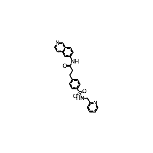 O=C(CCc1ccc(S(=O)(=O)NCc2ccccn2)cc1)Nc1ccc2cnccc2c1